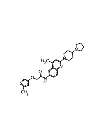 Cc1cc(OCC(=O)Nc2ccc3nc(N4CCC(N5CCCC5)CC4)cc(C)c3c2)cs1